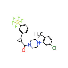 Cc1ccc(Cl)cc1N1CCN(C(=O)C2CC2c2cccc(S(F)(F)(F)(F)F)c2)CC1